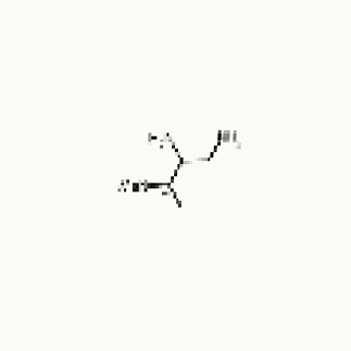 CN[C@H](C)C(N)CN